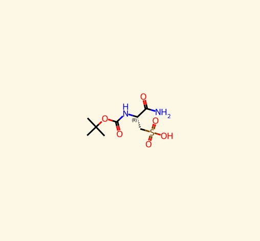 CC(C)(C)OC(=O)N[C@@H](CS(=O)(=O)O)C(N)=O